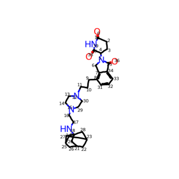 O=C1CCC(N2Cc3c(CCCN4CCN(CCNC56CC7CC(CC(C7)C5)C6)CC4)cccc3C2=O)C(=O)N1